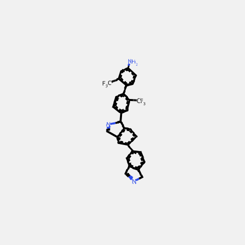 Nc1ccc(-c2ccc(C3N=Cc4cc(-c5ccc6c(c5)C=NC6)ccc43)cc2C(F)(F)F)c(C(F)(F)F)c1